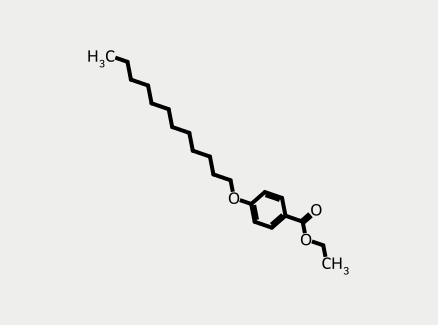 CCCCCCCCCCCCOc1ccc(C(=O)OCC)cc1